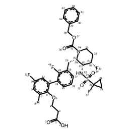 O=C(O)CCOc1c(F)cc(F)cc1-c1cccc(C[C@H]2[C@@H](NS(=O)(=O)C3(F)CC3)[C@@H](F)CCN2C(=O)OCc2ccccc2)c1F